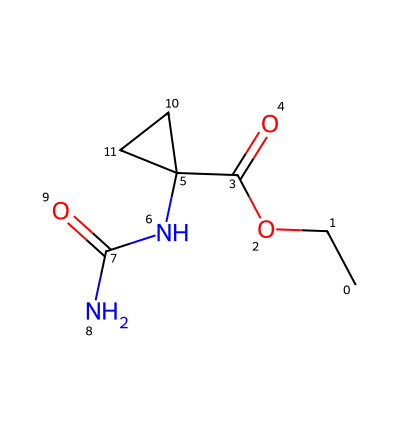 CCOC(=O)C1(NC(N)=O)CC1